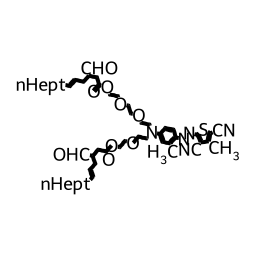 CCCCCCC/C=C/CC(C=O)CC(=O)OCCOCCOCCN(CCOCCOC(=O)CC(C=O)C/C=C/CCCCCCC)c1ccc(/N=N/c2sc(C#N)c(C)c2C#N)c(C)c1